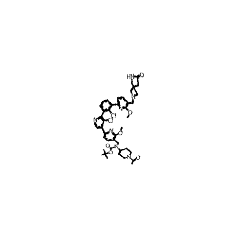 COc1nc(-c2cccc(-c3nccc(-c4ccc(CN(C(=O)OC(C)(C)C)C5CCN(C(C)=O)CC5)c(OC)n4)c3Cl)c2Cl)ccc1CN1CC2(CNC(=O)C2)C1